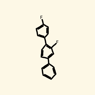 Fc1ccc(-c2ccc(-c3ccccc3)cc2F)cc1